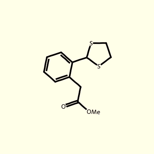 COC(=O)Cc1ccccc1C1SCCS1